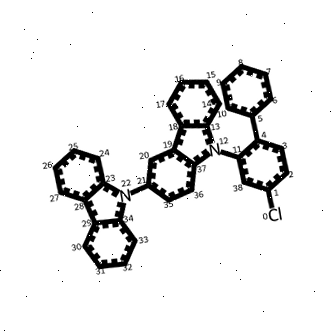 Clc1ccc(-c2ccccc2)c(-n2c3ccccc3c3cc(-n4c5ccccc5c5ccccc54)ccc32)c1